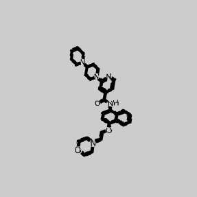 O=C(Nc1ccc(OCCN2CCOCC2)c2ccccc12)c1ccnc(N2CCC(N3CCCCC3)CC2)c1